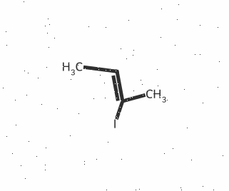 CC=C(C)I